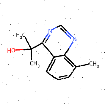 Cc1cccc2c(C(C)(C)O)ncnc12